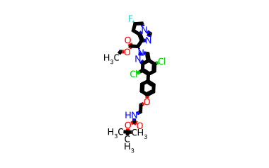 CCOC(=O)[C@@H](c1ncn2c1C[C@@H](F)C2)n1cc2c(Cl)cc(-c3ccc(OCCNC(=O)OC(C)(C)C)cc3)c(Cl)c2n1